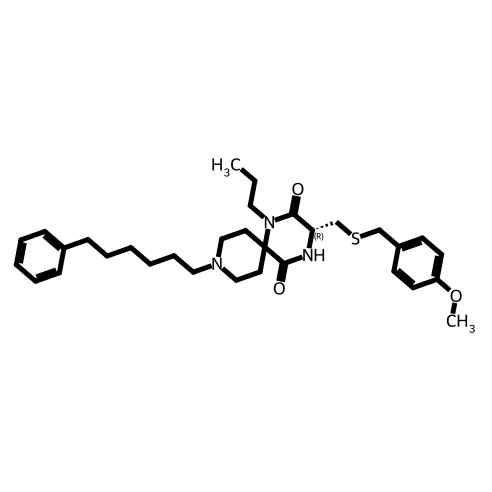 CCCN1C(=O)[C@H](CSCc2ccc(OC)cc2)NC(=O)C12CCN(CCCCCCc1ccccc1)CC2